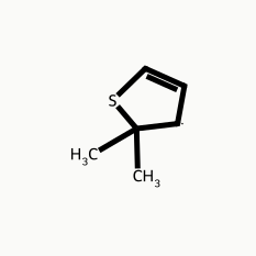 CC1(C)[CH]C=CS1